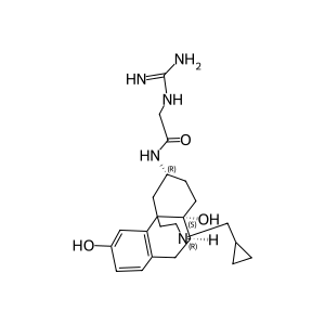 N=C(N)NCC(=O)N[C@@H]1CC[C@@]2(O)[C@H]3Cc4ccc(O)cc4C2(CCN3CC2CC2)C1